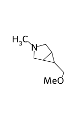 COCC1C2CN(C)CC12